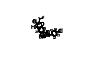 CCC1Oc2cc(S(=O)(=O)Nc3ccc(Cl)cc3)c(Br)cc2NC1=O